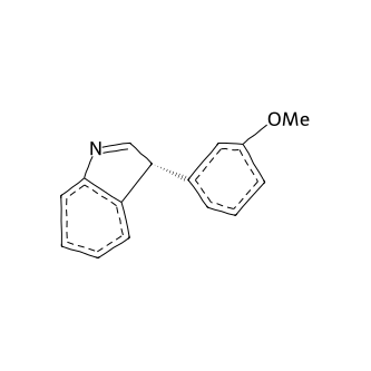 COc1cccc([C@H]2C=Nc3ccccc32)c1